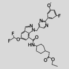 CCOC(=O)CC1CCC(NC(=O)c2cc(OC(F)F)cc3cnn(Cc4cnc(-c5cc(F)cc(OC)c5)nc4)c23)CC1